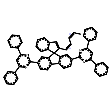 C/C=C\C=C/C1=Cc2ccccc2C12c1cc(-c3nc(-c4ccccc4)cc(-c4ccccc4)n3)ccc1-c1ccc(-c3nc(-c4ccccc4)cc(-c4ccccc4)n3)cc12